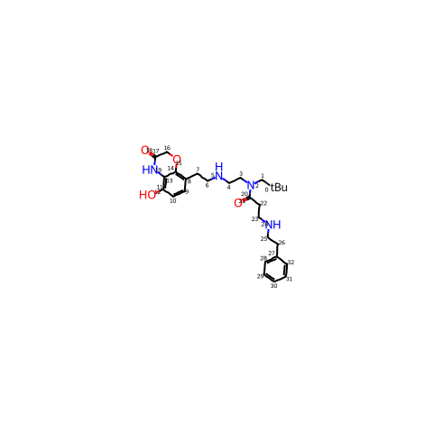 CC(C)(C)CN(CCNCCc1ccc(O)c2c1OCC(=O)N2)C(=O)CCNCCc1ccccc1